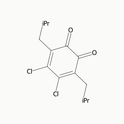 CC(C)CC1=C(Cl)C(Cl)=C(CC(C)C)C(=O)C1=O